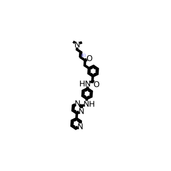 CN(C)C/C=C/C(=O)Cc1cccc(C(=O)Nc2ccc(Nc3nccc(-c4cccnc4)n3)cc2)c1